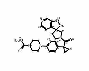 CC(C)COC(=O)N1CCN(c2ccc(C3(C(=O)N4CCC5(C4)OOc4cnccc45)CC3)cn2)CC1